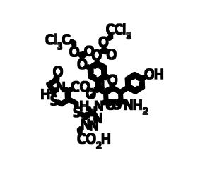 NC(=O)c1c(C(C(N)=O)c2ccc(O)cc2)oc2cc(OC(=O)OCC(Cl)(Cl)Cl)c(OC(=O)OCC(Cl)(Cl)Cl)cc2c1=O.O=C(O)Cn1nnnc1SCC1=C(C(=O)O)N2C(=O)C[C@@H]2SC1